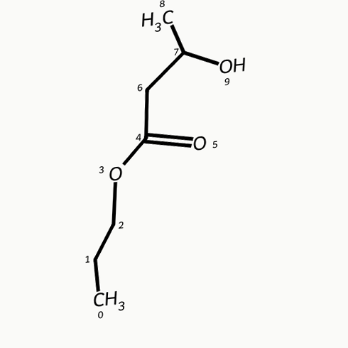 CCCOC(=O)CC(C)O